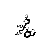 CNCC[C@@](O)(Oc1cccc2ccoc12)c1ccc(Cl)s1